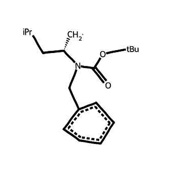 [CH2][C@@H](CC(C)C)N(Cc1ccccc1)C(=O)OC(C)(C)C